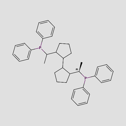 CC(C1CCCC1C1CCCC1[C@@H](C)P(c1ccccc1)c1ccccc1)P(c1ccccc1)c1ccccc1